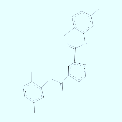 Cc1ccc(C)c(OC(=O)c2cccc(C(=O)Oc3cc(C)ccc3C)c2)c1